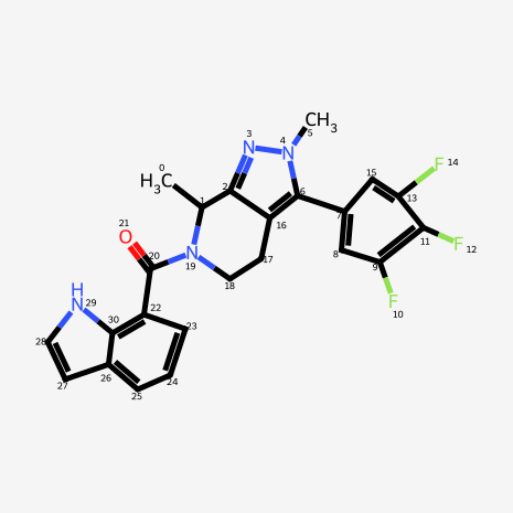 CC1c2nn(C)c(-c3cc(F)c(F)c(F)c3)c2CCN1C(=O)c1cccc2cc[nH]c12